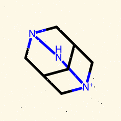 C1C2CN3CC1C[N+](C2)N3